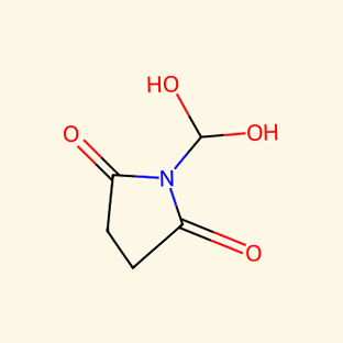 O=C1CCC(=O)N1C(O)O